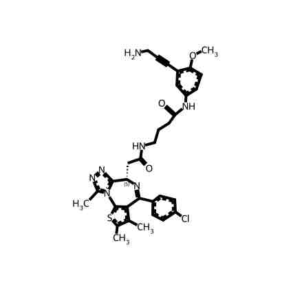 COc1ccc(NC(=O)CCCNC(=O)C[C@@H]2N=C(c3ccc(Cl)cc3)c3c(sc(C)c3C)-n3c(C)nnc32)cc1C#CCN